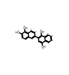 Oc1ccc2cc(-c3cc(O)c4ccccc4c3O)ccc2c1O